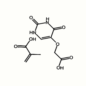 C=C(C)C(=O)O.O=C(O)COc1c[nH]c(=O)[nH]c1=O